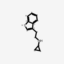 c1ccc2c(CCNC3CC3)csc2c1